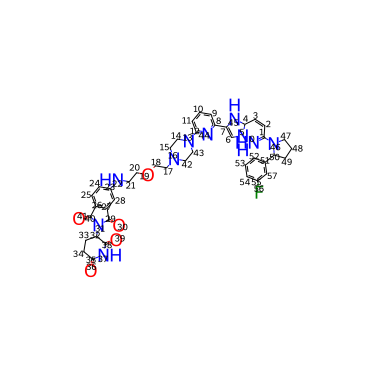 N=C(/C=C\C1NC=C(c2cccc(N3CCN(CCOCCNc4ccc5c(c4)C(=O)N(C4CCC(=O)NC4=O)C5=O)CC3)n2)N1)N1CCCC1c1cccc(F)c1